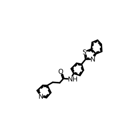 O=C(CCc1ccncc1)Nc1ccc(-c2nc3ccccc3s2)cc1